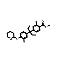 CCC(CC)(c1ccc(OC2CCCCO2)c(C)c1)c1ccc(C(=O)OC)c(C)c1